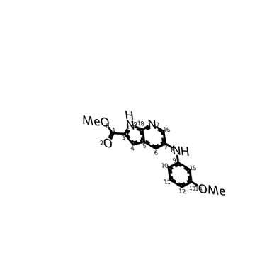 COC(=O)c1cc2cc(Nc3cccc(OC)c3)cnc2[nH]1